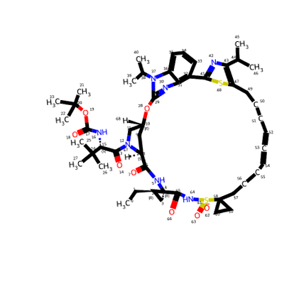 CC[C@@H]1C[C@@]12NC(=O)[C@@H]1C[C@H](CN1C(=O)[C@@H](NC(=O)OC(C)(C)C)C(C)(C)C)Oc1nc3c(cccc3n1C(C)C)-c1nc(C(C)C)c(s1)CCCC=C=CCCCC1(CC1)S(=O)(=O)NC2=O